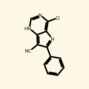 N#Cc1c(-c2ccccc2)nc2c(Cl)nc[nH]c1-2